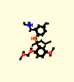 CCCC(C)(Pc1ccc(C)cc1CNC)c1cc(OC)ccc1OCOC